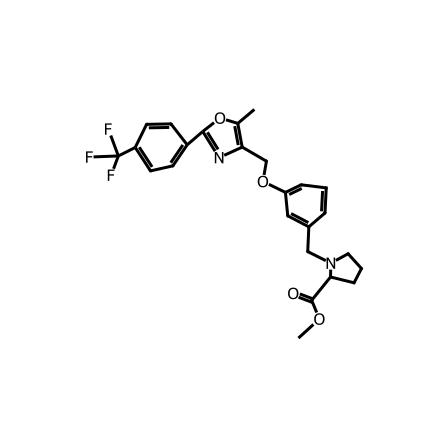 COC(=O)C1CCCN1Cc1cccc(OCc2nc(-c3ccc(C(F)(F)F)cc3)oc2C)c1